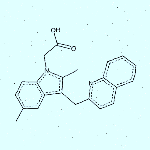 Cc1ccc2c(c1)c(Cc1ccc3ccccc3n1)c(C)n2CC(=O)O